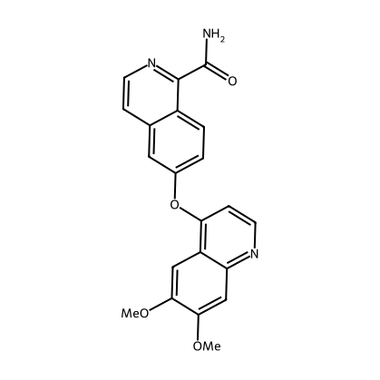 COc1cc2nccc(Oc3ccc4c(C(N)=O)nccc4c3)c2cc1OC